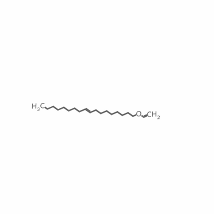 C=COCCCCCCCC/C=C/CCCCCCCC